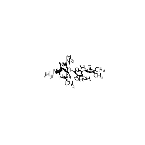 C=P(C)(C)CC[C@H]1O[C@@H](n2c(N)nc3c(N)nc(C)nc32)[C@H](O)[C@@H]1O